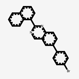 Brc1ccc(-c2ccc3nc(-c4cccc5ccccc45)ncc3c2)cc1